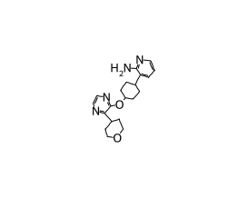 Nc1ncccc1C1CCC(Oc2nccnc2C2CCOCC2)CC1